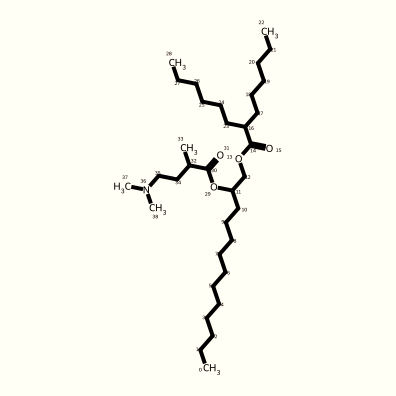 CCCCCCCCCCCC(COC(=O)C(CCCCCC)CCCCCC)OC(=O)C(C)CCN(C)C